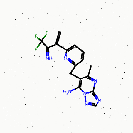 C=C(C(=N)C(F)(F)F)c1cccc(Cc2c(C)nc3ncnn3c2N)n1